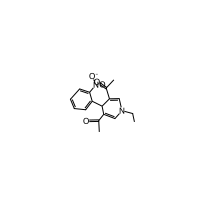 CCN1C=C(C(C)=O)C(c2ccccc2[N+](=O)[O-])C(C(C)=O)=C1